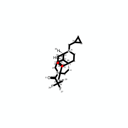 O=C(N1CC[C@]23CCN(CC4CC4)[C@H](Cc4ccc(O)cc42)[C@]3(O)CC1)C(F)(F)F